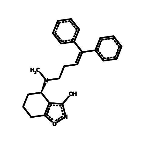 CN(CCC=C(c1ccccc1)c1ccccc1)[C@@H]1CCCc2onc(O)c21